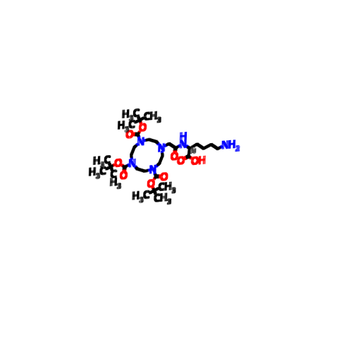 CC(C)(C)OC(=O)N1CCN(CC(=O)N[C@@H](CCCCN)C(=O)O)CCN(C(=O)OC(C)(C)C)CCN(C(=O)OC(C)(C)C)CC1